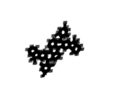 Cc1cc(C)c(B2c3cc4c(cc3N3c5cccc6c5N(c5cc7c(cc5B6c5c(C)cc(C)cc5C)C(C)(C)c5ccccc5-7)c5cccc2c53)-c2ccccc2C4(C)C)c(C)c1